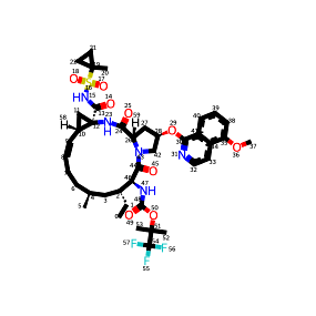 CC[C@@H]1C[C@@H](C)CC/C=C\[C@@H]2C[C@@]2(C(=O)NS(=O)(=O)C2(C)CC2)NC(=O)[C@@H]2C[C@@H](Oc3nccc4c(OC)cccc34)CN2C(=O)[C@H]1NC(=O)OC(C)(C)C(F)(F)F